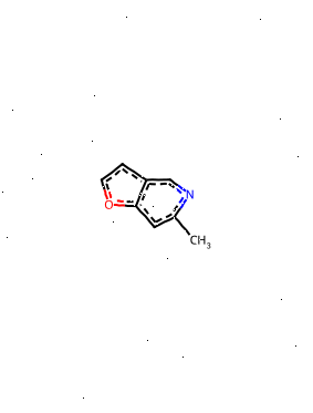 Cc1cc2occc2cn1